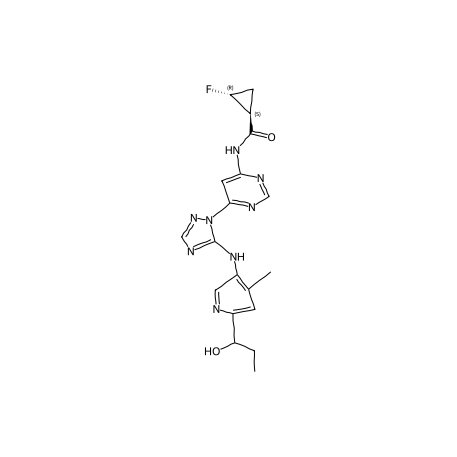 CCC(O)c1cc(C)c(Nc2ncnn2-c2cc(NC(=O)[C@@H]3C[C@H]3F)ncn2)cn1